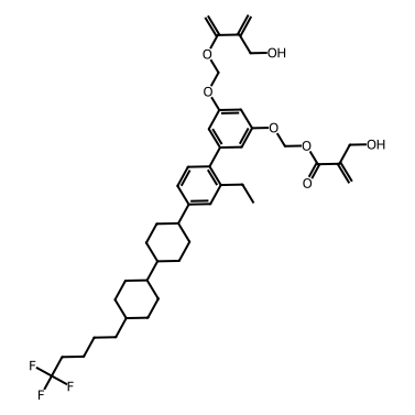 C=C(CO)C(=C)OCOc1cc(OCOC(=O)C(=C)CO)cc(-c2ccc(C3CCC(C4CCC(CCCCC(F)(F)F)CC4)CC3)cc2CC)c1